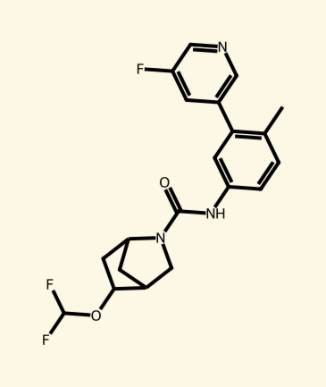 Cc1ccc(NC(=O)N2CC3CC2CC3OC(F)F)cc1-c1cncc(F)c1